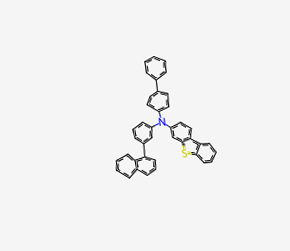 c1ccc(-c2ccc(N(c3cccc(-c4cccc5ccccc45)c3)c3ccc4c(c3)sc3ccccc34)cc2)cc1